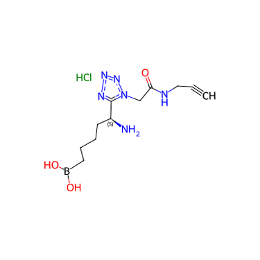 C#CCNC(=O)Cn1nnnc1[C@@H](N)CCCCB(O)O.Cl